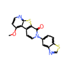 COc1ccnc2sc3c(=O)n(-c4ccc5scnc5c4)ccc3c12